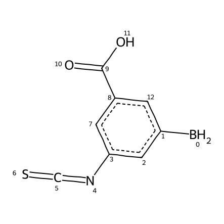 Bc1cc(N=C=S)cc(C(=O)O)c1